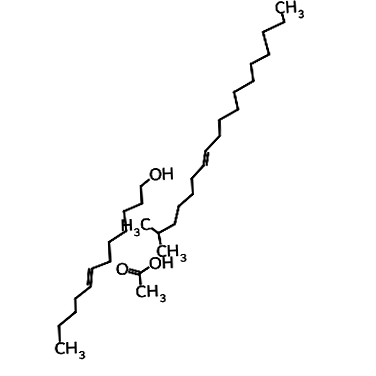 CC(=O)O.CCCCC=CCCCCCCO.CCCCCCCCCCC=CCCCCC(C)C